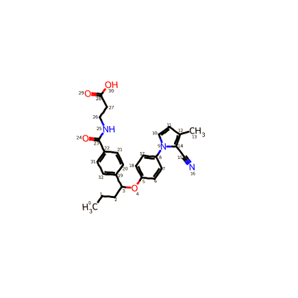 CCCC(Oc1ccc(-n2ccc(C)c2C#N)cc1)c1ccc(C(=O)NCCC(=O)O)cc1